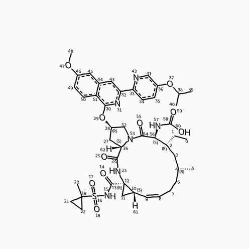 CC[C@@H]1C[C@H](C)CCC=C[C@@H]2C[C@@]2(C(=O)NS(=O)(=O)C2(C)CC2)NC(=O)[C@@H]2C[C@@H](Oc3nc(-c4ccc(OC(C)C)cn4)cc4cc(OC)ccc34)CN2C(=O)[C@H]1NC(=O)O